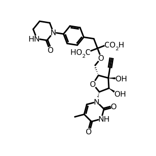 C#C[C@@]1(O)[C@@H](COC(Cc2ccc(N3CCCNC3=O)cc2)(C(=O)O)C(=O)O)O[C@@H](n2cc(C)c(=O)[nH]c2=O)[C@@H]1O